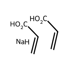 C=CC(=O)O.C=CC(=O)O.[NaH]